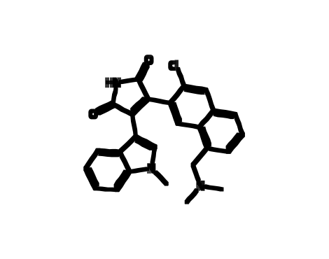 CN(C)Cc1cccc2cc(Cl)c(C3=C(c4cn(C)c5ccccc45)C(=O)NC3=O)cc12